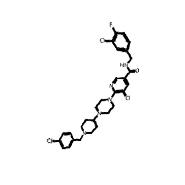 O=C(NCc1ccc(F)c(Cl)c1)c1cnc(N2CCN(C3CCN(Cc4ccc(Cl)cc4)CC3)CC2)c(Cl)c1